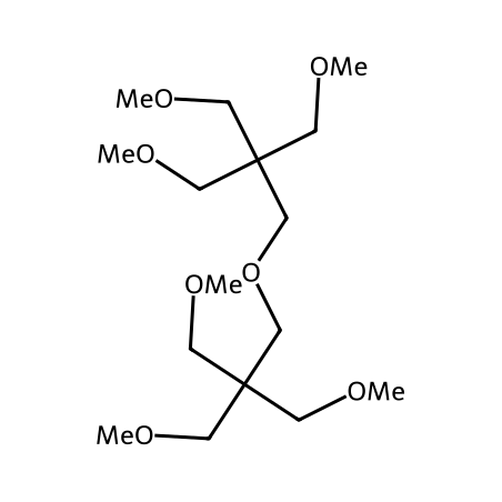 COCC(COC)(COC)COCC(COC)(COC)COC